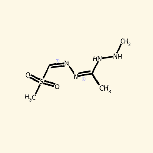 CNN/C(C)=N\N=C/S(C)(=O)=O